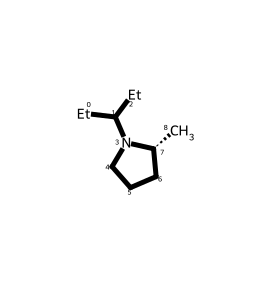 CCC(CC)N1CCC[C@H]1C